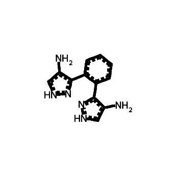 Nc1c[nH]nc1-c1ccccc1-c1n[nH]cc1N